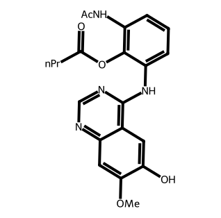 CCCC(=O)Oc1c(NC(C)=O)cccc1Nc1ncnc2cc(OC)c(O)cc12